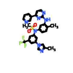 Cc1cn(-c2cc(N(c3ccc(C)c(Nc4nccc(-c5cccnc5)n4)c3)S(C)(=O)=O)cc(C(F)(F)F)c2)cn1